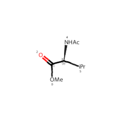 COC(=O)[C@@H](NC(C)=O)C(C)C